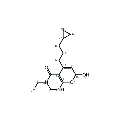 O=C1C2=C(NCN1CF)OC(O)C=C2CCCC1CC1